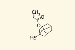 C=CC(=O)OC12CC3CC(CC(S)(C3)C1)C2